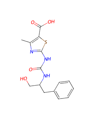 Cc1nc(NC(=O)NC(CO)Cc2ccccc2)sc1C(=O)O